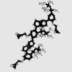 CC(C)(C)CC(C)(C)c1ccc(OCC2CO2)c(C2CC3CC2C2CCC(c4cc(OCC5CO5)c(C5CC6CC5C5CCC(c7cc(OCC8CO8)ccc7C(C)(C)CC(C)(C)C)C65)cc4C(C)(C)CC(C)(C)C)C32)c1